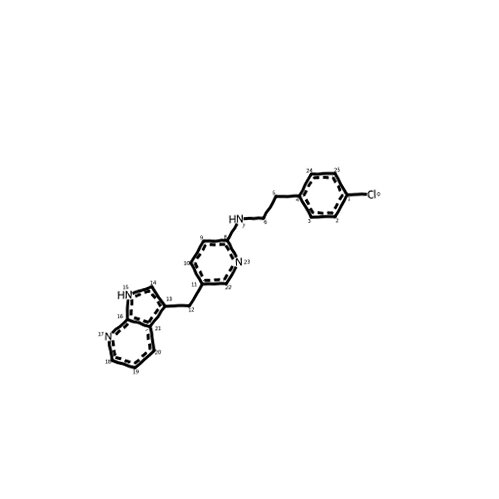 Clc1ccc(CCNc2ccc(Cc3c[nH]c4ncccc34)cn2)cc1